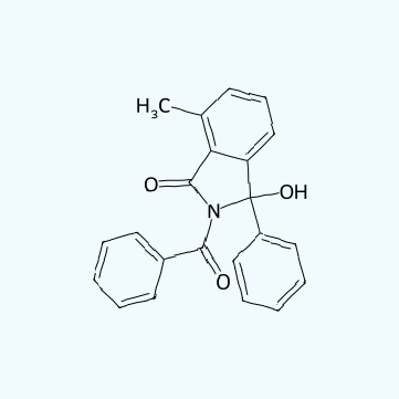 Cc1cccc2c1C(=O)N(C(=O)c1ccccc1)C2(O)c1ccccc1